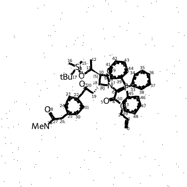 C=CCOC(=O)C(N1C(=O)[C@H](C(C)O[Si](C)(C)C(C)(C)C)[C@H]1CC(=O)c1ccc(CC(=O)NC)cc1)=P(c1ccccc1)(c1ccccc1)c1ccccc1